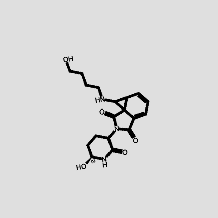 O=C1N[C@@H](O)CCC1N1C(=O)C2=CC=CC3C(NCCCCO)C23C1=O